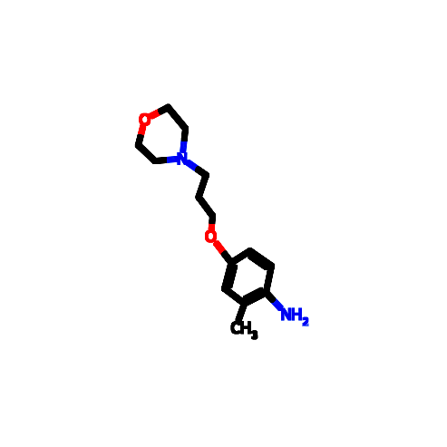 Cc1cc(OCCCN2CCOCC2)ccc1N